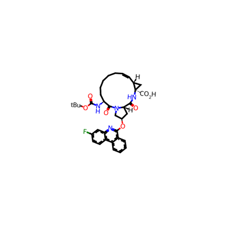 CC(C)(C)OC(=O)N[C@H]1CCCCC/C=C\[C@@H]2C[C@@]2(C(=O)O)NC(=O)[C@@H]2C[C@@H](Oc3nc4cc(F)ccc4c4ccccc34)CN2C1=O